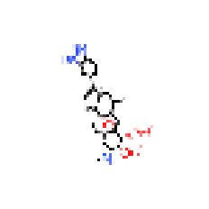 CC1=C2C=C3[C@@H](O)[C@H](O)[C@@H](N(C)C)C[C@]34CC[C@]2(O4)C2CC=C(c3ccc4nn[nH]c4c3)[C@@]2(C)C1